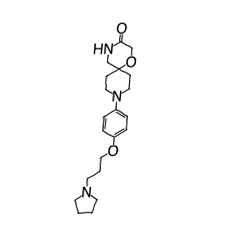 O=C1COC2(CCN(c3ccc(OCCCN4CCCC4)cc3)CC2)CN1